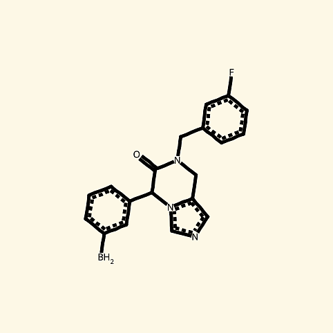 Bc1cccc(C2C(=O)N(Cc3cccc(F)c3)Cc3cncn32)c1